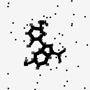 CC(C)n1cc(-c2nc(N)ncc2I)c2cc(Br)ncc21